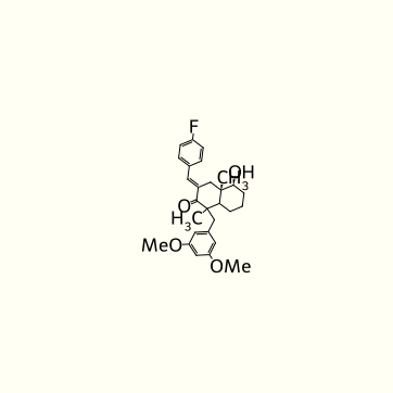 COc1cc(CC2(C)C(=O)/C(=C/c3ccc(F)cc3)C[C@@]3(C)C2CCC[C@@H]3O)cc(OC)c1